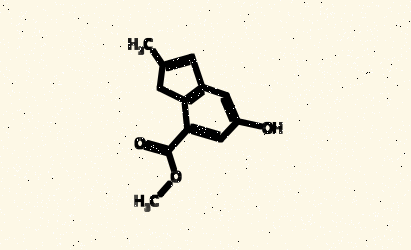 COC(=O)c1cc(O)cc2c1CC(C)=C2